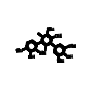 Cc1c(-c2ccc(C(C)(C)C)c(O)c2C(C)(C)C)c(C)c(C(C)(C)C)c(O)c1-c1cc(C(C)(C)C)c(O)c(C(C)(C)C)c1